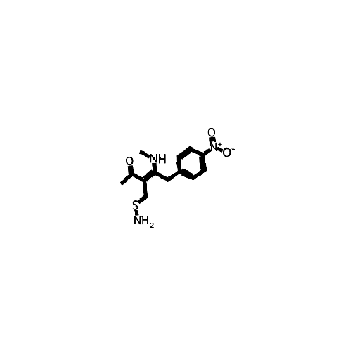 CNC(Cc1ccc([N+](=O)[O-])cc1)=C(CSN)C(C)=O